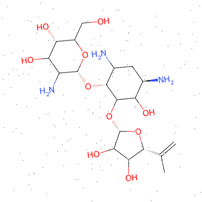 C=C(C)[C@H]1O[C@@H](OC2C(O)[C@H](N)CC(N)[C@H]2O[C@H]2OC(CO)[C@@H](O)C(O)C2N)C(O)C1O